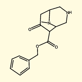 CN1C2CNCC1C(C(=O)OCc1ccccc1)C(=O)C2